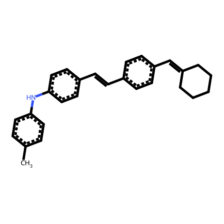 Cc1ccc(Nc2ccc(C=Cc3ccc(C=C4CCCCC4)cc3)cc2)cc1